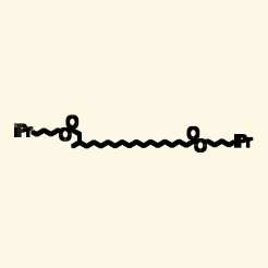 CC(C)CCCCOC(=O)CCCCCCCCCCCCCCCC(C)CC(=O)OCCCCC(C)C